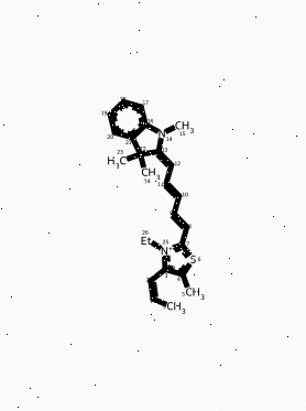 C/C=C\c1c(C)sc(/C=C/C=C/C=C2/N(C)c3ccccc3C2(C)C)[n+]1CC